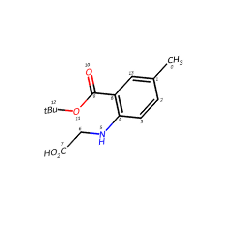 Cc1ccc(NCC(=O)O)c(C(=O)OC(C)(C)C)c1